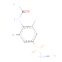 CNS(=O)(=O)c1cc(C)c(NC(C)=O)c(Br)c1